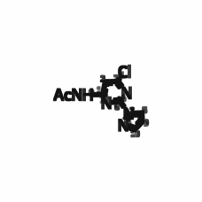 CC(=O)Nc1cc(Cl)nc(-n2cccn2)n1